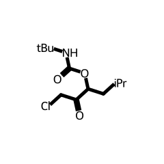 CC(C)CC(OC(=O)NC(C)(C)C)C(=O)CCl